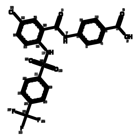 O=C(O)c1ccc(NC(=O)c2cc(Cl)ccc2NS(=O)(=O)c2ccc(C(F)(F)F)cc2)cc1